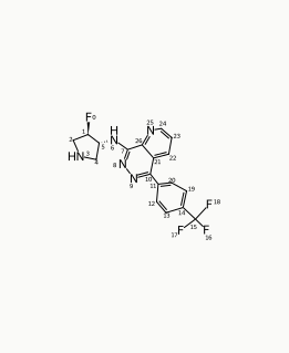 F[C@@H]1CNC[C@H]1Nc1nnc(-c2ccc(C(F)(F)F)cc2)c2cccnc12